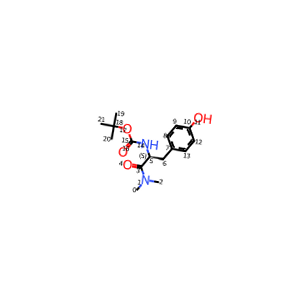 CN(C)C(=O)[C@H](Cc1ccc(O)cc1)NC(=O)OC(C)(C)C